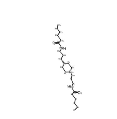 CCCCCC(=O)NCCCN1CCN(CCCNC(=O)CCCCC)CC1